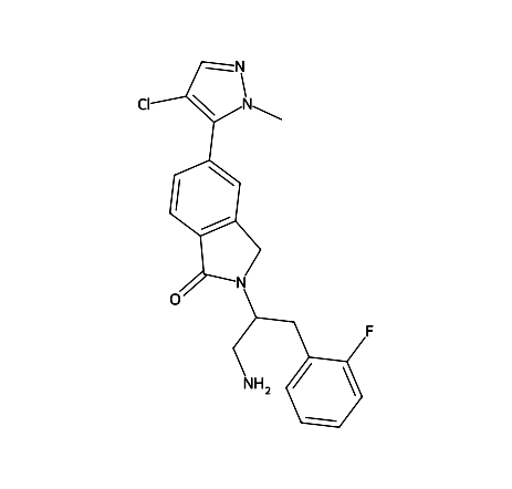 Cn1ncc(Cl)c1-c1ccc2c(c1)CN(C(CN)Cc1ccccc1F)C2=O